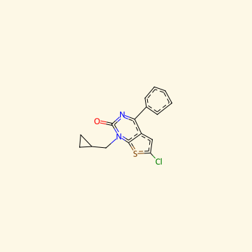 O=c1nc(-c2ccccc2)c2cc(Cl)sc2n1CC1CC1